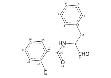 O=CC(Cc1ccccc1)NC(=O)c1ccccc1F